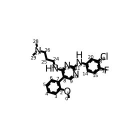 COc1ccccc1-c1cnc(Nc2ccc(F)c(Cl)c2)nc1NCCCN(C)C